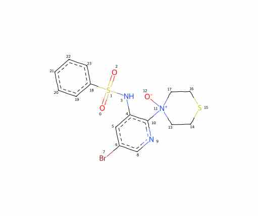 O=S(=O)(Nc1cc(Br)cnc1[N+]1([O-])CCSCC1)c1ccccc1